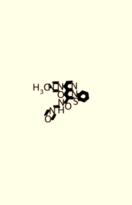 CN1CCN(c2ccnc3c2c(=O)c(C(=O)NCCN2CCOCC2)c2sc4ccccc4n23)CC1